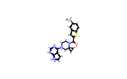 Cc1ccc2sc(C(=O)N3CCN(c4ncnc5[nH]ccc45)CC34CC4)cc2c1